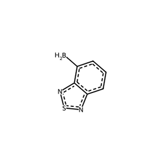 Bc1cccc2nsnc12